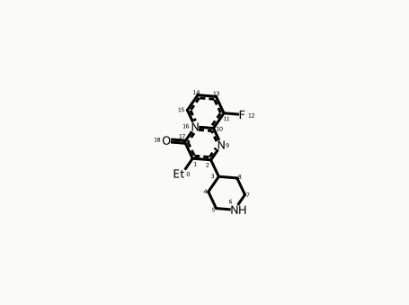 CCc1c(C2CCNCC2)nc2c(F)cccn2c1=O